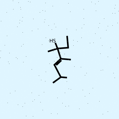 CCC(C)(S)/C(C)=C/C(C)C